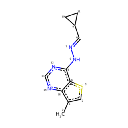 Cc1csc2c(NN=CC3CC3)ncnc12